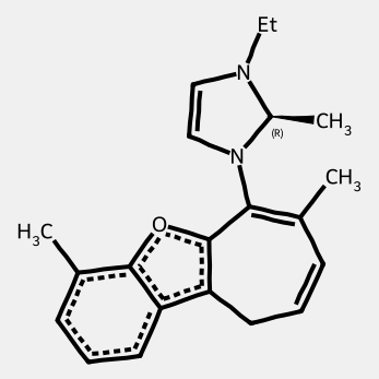 CCN1C=CN(C2=C(C)C=CCc3c2oc2c(C)cccc32)[C@@H]1C